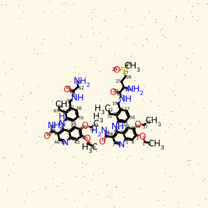 CCOc1cc2ncc(C(N)=O)c(Nc3cccc(CNC(=O)C(N)CC[S+](C)[O-])c3CC)c2cc1OCC.CCOc1cc2ncc(C(N)=O)c(Nc3cccc(CNC(=O)CN)c3CC)c2cc1OCC